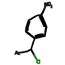 CC(=O)C(Cl)c1ccc([N+](=O)[O-])cc1